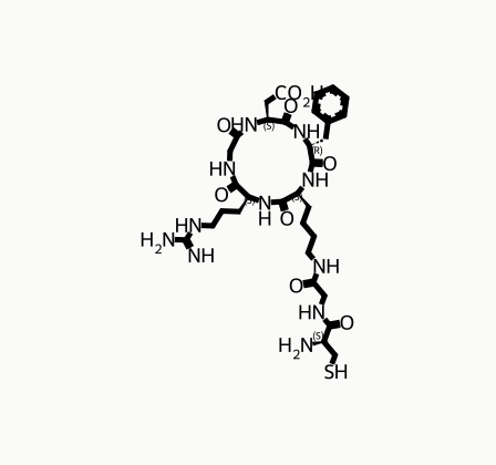 N=C(N)NCCC[C@@H]1NC(=O)[C@H](CCCCNC(=O)CNC(=O)[C@H](N)CS)NC(=O)[C@@H](Cc2ccccc2)NC(=O)[C@H](CC(=O)O)NC(=O)CNC1=O